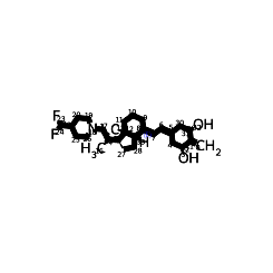 C=C1[C@H](O)CC(=C/C=C2\CCC[C@]3(C)[C@@H]([C@@H](C)CN4CCC(C(F)F)CC4)CC[C@@H]23)C[C@H]1O